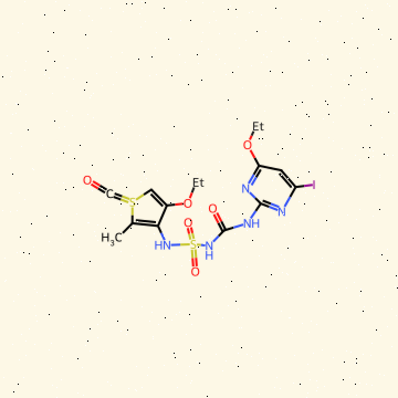 CCOC1=CS(=C=O)C(C)=C1NS(=O)(=O)NC(=O)Nc1nc(I)cc(OCC)n1